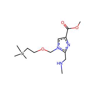 CNCc1nc(C(=O)OC)cn1COCC[Si](C)(C)C